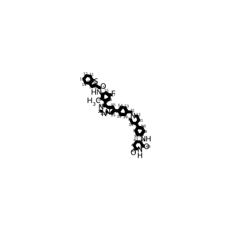 Cc1c(NC(=O)c2cc3c(s2)CCCC3)cc(F)cc1-c1ncnn2cc(-c3ccc(CN4CCC(c5ccc(NC6CCC(=O)NC6=O)cc5)CC4)cc3)cc12